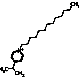 CCCCCCCCCCCCC[n+]1ccc(C(C)C)cc1